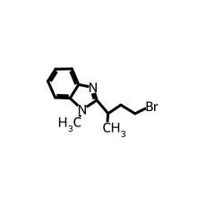 CC(CCBr)c1nc2ccccc2n1C